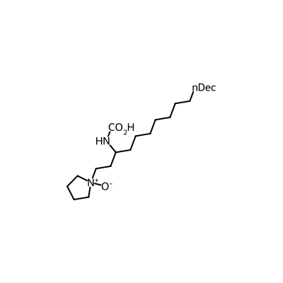 CCCCCCCCCCCCCCCCCC(CC[N+]1([O-])CCCC1)NC(=O)O